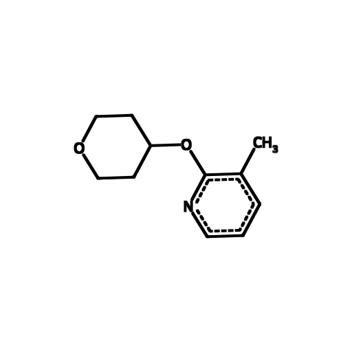 Cc1cccnc1OC1CCOCC1